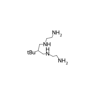 CC(C)(C)C(CNCCN)CNCCN